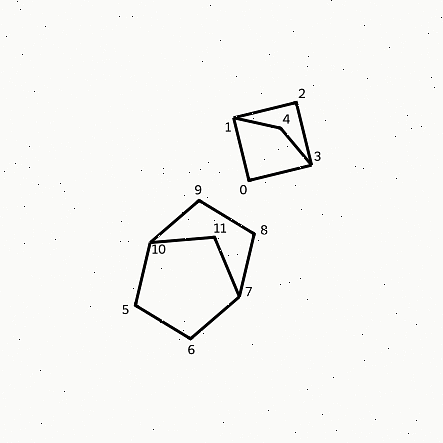 C1C2CC1C2.C1CC2CCC1C2